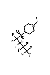 CCN1CCN(S(=O)(=O)C(F)(F)C(F)(F)C(F)(F)C(F)(F)F)CC1